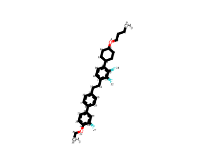 CCCCOC1CCC(c2ccc(CCc3ccc(-c4ccc(OCC)c(F)c4)cc3)c(F)c2F)CC1